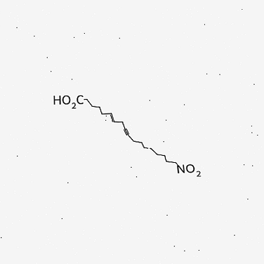 O=C(O)CCCCC=CCC#CCCCCCCCC[N+](=O)[O-]